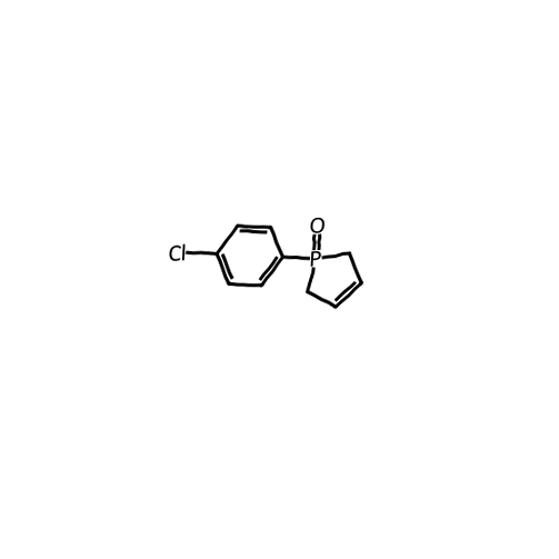 O=P1(c2ccc(Cl)cc2)CC=CC1